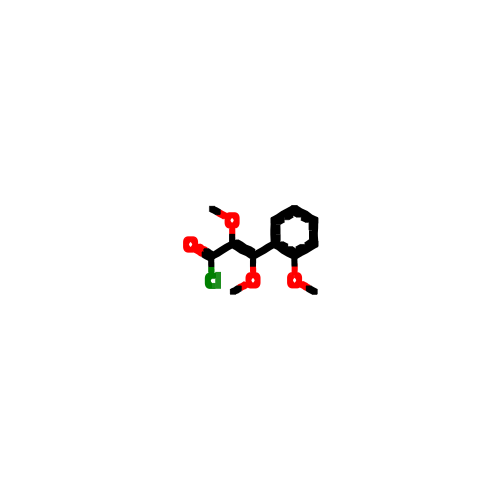 COC(C(=O)Cl)=C(OC)c1ccccc1OC